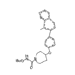 Cc1c(-c2ccc(OC3CCN(C(=O)NOCC(C)C)CC3)cc2)ccc2cccnc12